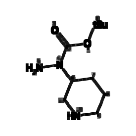 CC(C)(C)OC(=O)N(N)C1CCCNC1